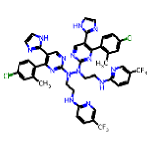 Cc1cc(Cl)ccc1-c1nc(N(CCNc2ccc(C(F)(F)F)cn2)N(CCNc2ccc(C(F)(F)F)cn2)c2ncc(-c3ncc[nH]3)c(-c3ccc(Cl)cc3C)n2)ncc1-c1ncc[nH]1